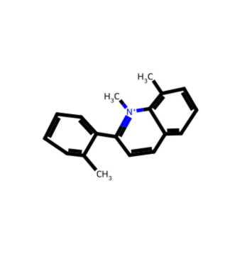 Cc1ccccc1-c1ccc2cccc(C)c2[n+]1C